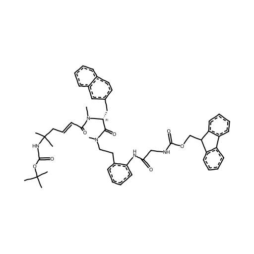 CN(CCc1ccccc1NC(=O)CNC(=O)OCC1c2ccccc2-c2ccccc21)C(=O)[C@@H](Cc1ccc2ccccc2c1)N(C)C(=O)C=CCC(C)(C)NC(=O)OC(C)(C)C